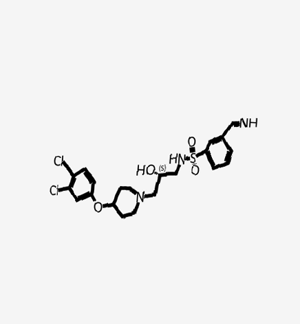 N=Cc1cccc(S(=O)(=O)NC[C@@H](O)CN2CCC(Oc3ccc(Cl)c(Cl)c3)CC2)c1